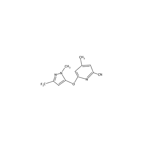 Cc1cc(C#N)nc(Oc2cc(C(F)(F)F)nn2C)c1